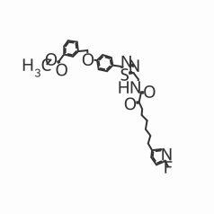 COC(=O)c1cccc(COc2ccc(-c3nnc(CNC(=O)C(=O)CCCCCCc4ccc(F)nc4)s3)cc2)c1